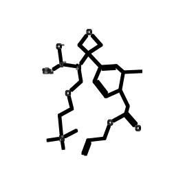 C=CCOC(=O)CC1C=CC(C2(N(COCC[Si](C)(C)C)[S+]([O-])C(C)(C)C)COC2)=CC1C